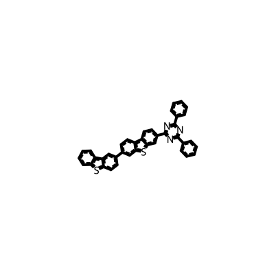 c1ccc(-c2nc(-c3ccccc3)nc(-c3ccc4c(c3)sc3cc(-c5ccc6sc7ccccc7c6c5)ccc34)n2)cc1